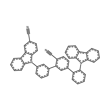 N#Cc1ccc2c(c1)c1ccccc1n2-c1cccc(-c2cc(-c3ccccc3-n3c4ccccc4c4ccccc43)ccc2C#N)c1